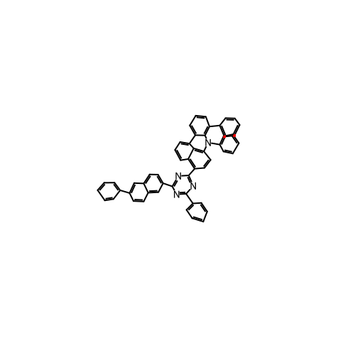 c1ccc(-c2ccc3cc(-c4nc(-c5ccccc5)nc(-c5ccc6c7c(cccc57)-c5cccc(-c7ccccc7)c5N6c5ccccc5)n4)ccc3c2)cc1